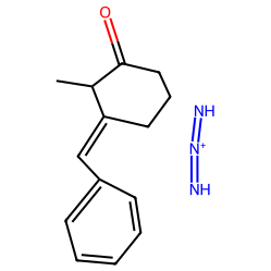 CC1C(=O)CCCC1=Cc1ccccc1.N=[N+]=N